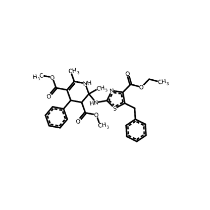 CCOC(=O)c1nc(NC2(C)NC(C)=C(C(=O)OC)C(c3ccccc3)C2C(=O)OC)sc1Cc1ccccc1